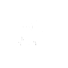 C#Cc1ccsc1-c1nc2ccnn2cc1C(=O)O.c1cc2sc1-2